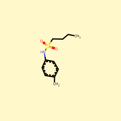 [CH2]c1ccc(NS(=O)(=O)CCCC)cc1